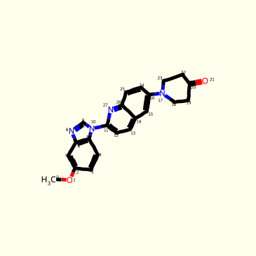 COc1ccc2c(c1)ncn2-c1ccc2cc(N3CCC(=O)CC3)ccc2n1